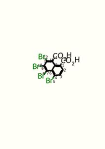 O=C(O)c1ccc(Br)c2c(Br)c(Br)c(Br)c(C(=O)O)c12